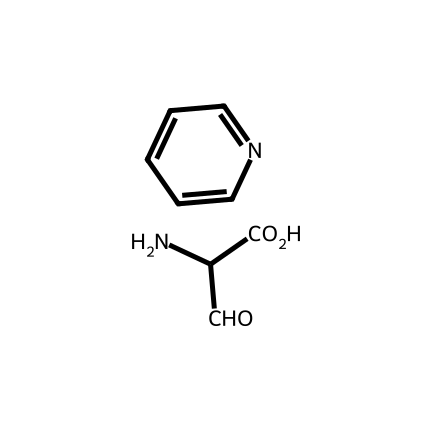 NC(C=O)C(=O)O.c1ccncc1